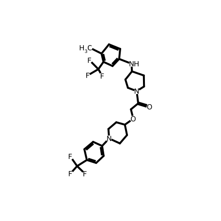 Cc1ccc(NC2CCN(C(=O)COC3CCN(c4ccc(C(F)(F)F)cc4)CC3)CC2)cc1C(F)(F)F